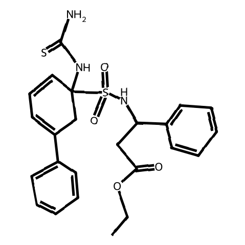 CCOC(=O)CC(NS(=O)(=O)C1(NC(N)=S)C=CC=C(c2ccccc2)C1)c1ccccc1